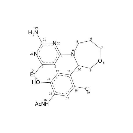 CCc1cc(N2CCCOCC2c2cc(O)c(NC(C)=O)cc2Cl)nc(N)n1